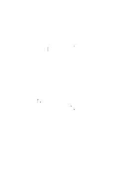 Cc1ccc(-c2c(-c3ccccc3)c3[nH]c4ccccc4c3c3[nH]c4ccccc4c23)cc1C